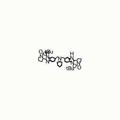 CC(C)(C)OC(=O)N1CCCC1c1nc2ccc(CN(Cc3ccc4nc(C5CCCN5C(=O)OC(C)(C)C)[nH]c4c3)c3ccccc3)cc2[nH]1